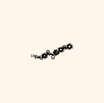 O=C(CCC(=O)N1CCN(c2ccc(OCc3ccccc3)cc2)CC1)c1ccc(OCC[18F])cc1